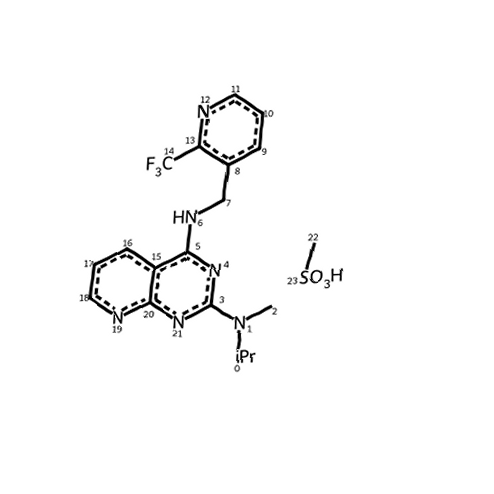 CC(C)N(C)c1nc(NCc2cccnc2C(F)(F)F)c2cccnc2n1.CS(=O)(=O)O